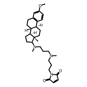 COc1ccc2c(c1)CC[C@@H]1[C@@H]2CC[C@]2(C)C(N(C)CCCN(C)CCCN3C(=O)C=CC3=O)CC[C@@H]12